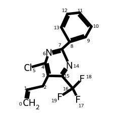 C=CCc1c(Cl)nc(-c2ccccc2)nc1C(F)(F)F